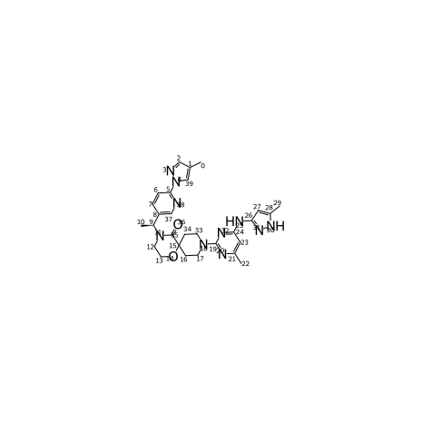 Cc1cnn(-c2ccc([C@H](C)N3CCOC4(CCN(c5nc(C)cc(Nc6cc(C)[nH]n6)n5)CC4)C3=O)cn2)c1